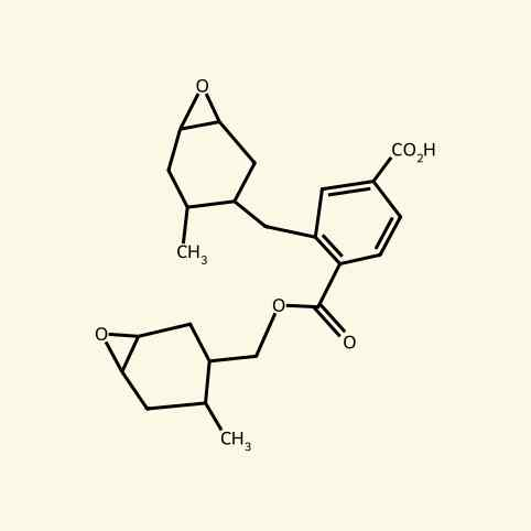 CC1CC2OC2CC1COC(=O)c1ccc(C(=O)O)cc1CC1CC2OC2CC1C